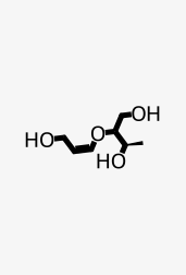 C[C@@H](O)C(CO)O/C=C\CO